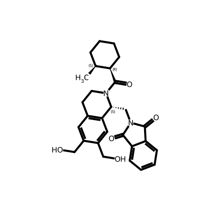 C[C@H]1CCCC[C@H]1C(=O)N1CCc2cc(CO)c(CO)cc2[C@H]1CN1C(=O)c2ccccc2C1=O